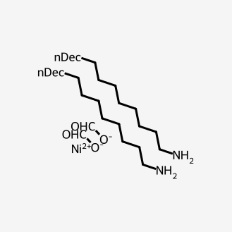 CCCCCCCCCCCCCCCCCCN.CCCCCCCCCCCCCCCCCCN.O=C[O-].O=C[O-].[Ni+2]